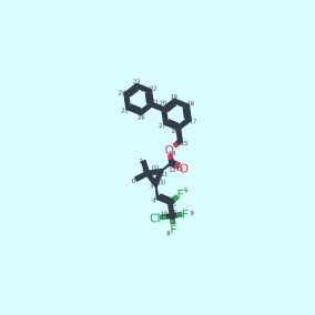 CC1(C)[C@H](C=C(F)C(F)(F)Cl)[C@@H]1C(=O)OCc1cccc(-c2ccccc2)c1